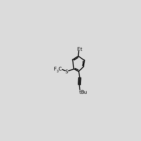 CCc1ccc(C#CC(C)(C)C)c(SC(F)(F)F)c1